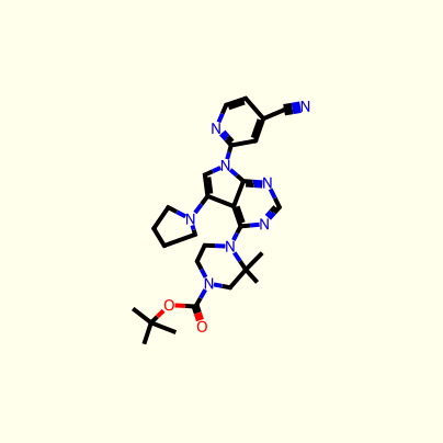 CC(C)(C)OC(=O)N1CCN(c2ncnc3c2c(N2CCCC2)cn3-c2cc(C#N)ccn2)C(C)(C)C1